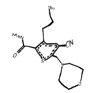 CNC(=O)c1sc(N2CCOCC2)c(C#N)c1CCC(C)(C)C